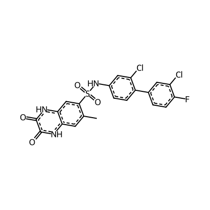 Cc1cc2[nH]c(=O)c(=O)[nH]c2cc1S(=O)(=O)Nc1ccc(-c2ccc(F)c(Cl)c2)c(Cl)c1